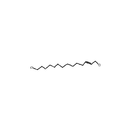 ClCC=CCCCCCCCCCCCCl